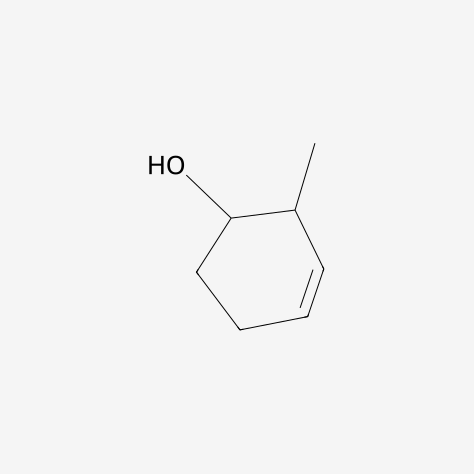 CC1C=CCCC1O